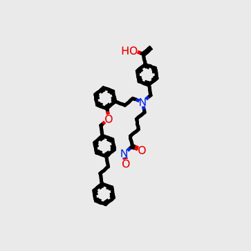 C=C(O)c1ccc(CN(CCCCC(=O)N=O)CCc2ccccc2OCc2ccc(CCc3ccccc3)cc2)cc1